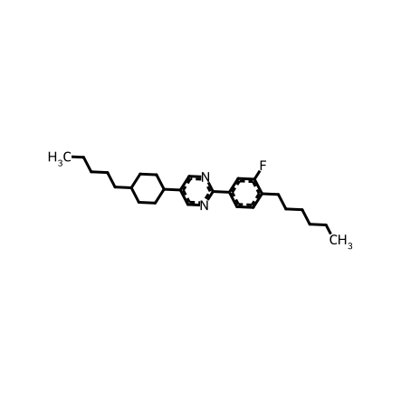 CCCCCCc1ccc(-c2ncc(C3CCC(CCCCC)CC3)cn2)cc1F